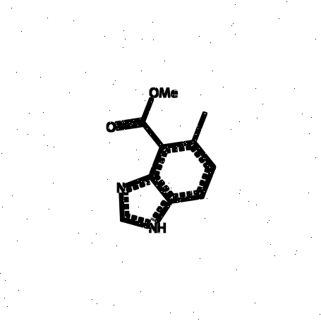 COC(=O)c1c(C)ccc2[nH]cnc12